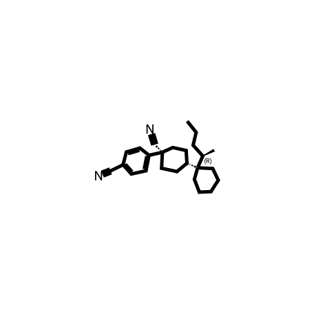 CCC[C@@H](C)C1([C@H]2CC[C@](C#N)(c3ccc(C#N)cc3)CC2)CCCCC1